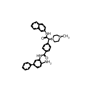 CN1CCN(C(C(=O)Nc2ccc3ccccc3c2)c2ccc(C(=O)Nc3cc(-c4ccccc4)ccc3N)cc2)CC1